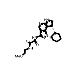 COCCNC(=O)C(=O)Nc1nn([C@H]2CCCC[C@H]2C)c2c1cnc1[nH]ccc12